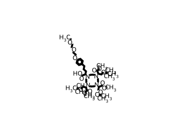 CCOCCOCCOc1ccc(CCCC(C(=O)O)N2CCN(C(COC(C)(C)C)C(=O)OC)CCN(C(COC(C)(C)C)C(=O)OC)CCN(C(COC(C)(C)C)C(=O)OC)CC2)cc1